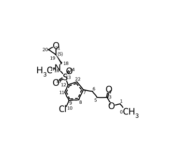 CCOC(=O)CCc1cc(Cl)cc(S(=O)(=O)N(C)C[C@H]2CO2)c1